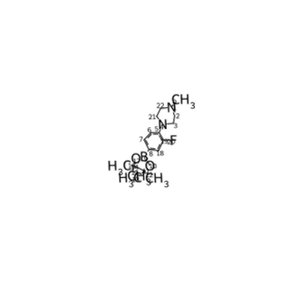 CN1CCN(c2ccc(B3OC(C)(C)C(C)(C)O3)cc2F)CC1